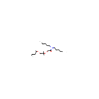 CCCCCCCCCCCCCCN(CCCCCCCCCCCCCC)C(=O)COC(C)(C)COC(C)CCOC